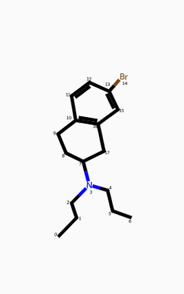 CCCN(CCC)C1CCc2ccc(Br)cc2C1